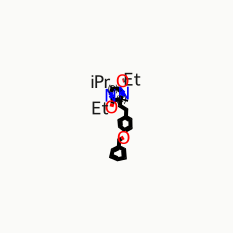 CCOC1=N[C@](C)(CCc2ccc(OCc3ccccc3)cc2)C(OCC)=N[C@@H]1C(C)C